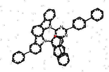 c1ccc(-c2ccc(-c3nc(-c4ccccc4)nc(-n4c5ccccc5c5ccc6c7cc(-c8ccccc8)ccc7n(-c7cccc(-c8ccccc8)c7)c6c54)n3)cc2)cc1